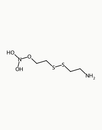 NCCSSCCON(O)O